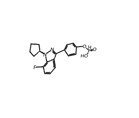 O=[PH](O)Oc1ccc(-c2nn(C3CCCC3)c3c(F)cccc23)cc1